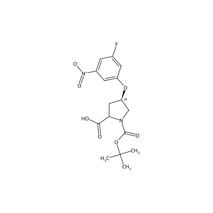 CC(C)(C)OC(=O)N1C[C@H](Oc2cc(F)cc([N+](=O)[O-])c2)CC1C(=O)O